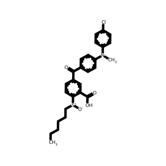 CCCCCC[S+]([O-])c1ccc(C(=O)c2ccc(N(C)c3ccc(Cl)cc3)cc2)cc1C(=O)O